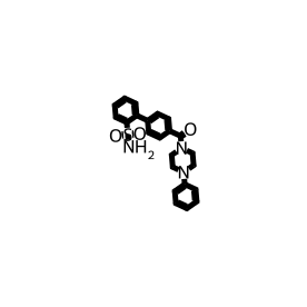 NS(=O)(=O)c1ccccc1-c1ccc(C(=O)N2CCN(c3ccccc3)CC2)cc1